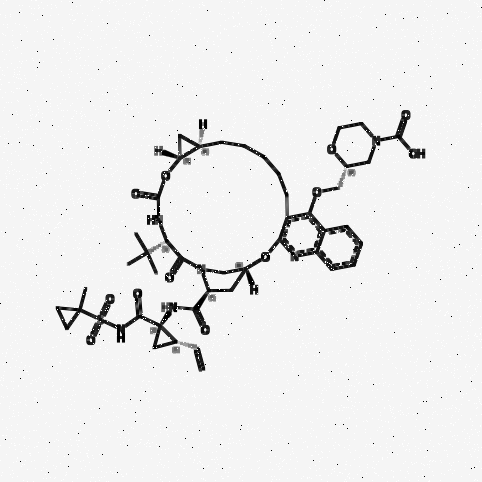 C=C[C@@H]1C[C@]1(NC(=O)[C@@H]1C[C@@H]2CN1C(=O)[C@H](C(C)(C)C)NC(=O)O[C@@H]1C[C@H]1CCCCCc1c(nc3ccccc3c1OC[C@H]1CN(C(=O)O)CCO1)O2)C(=O)NS(=O)(=O)C1(C)CC1